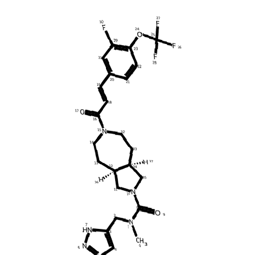 CN(Cc1cnn[nH]1)C(=O)N1C[C@H]2CCN(C(=O)C=Cc3ccc(OC(F)(F)F)c(F)c3)CC[C@H]2C1